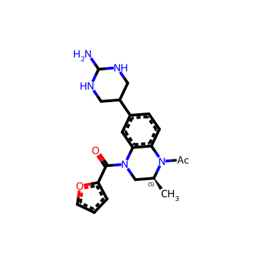 CC(=O)N1c2ccc(C3CNC(N)NC3)cc2N(C(=O)c2ccco2)C[C@@H]1C